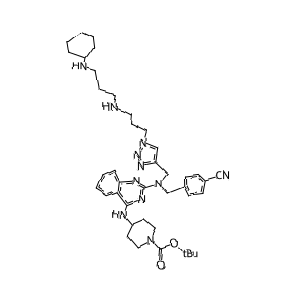 CC(C)(C)OC(=O)N1CCC(Nc2nc(N(Cc3ccc(C#N)cc3)Cc3cn(CCCNCCCNC4CCCCC4)nn3)nc3ccccc23)CC1